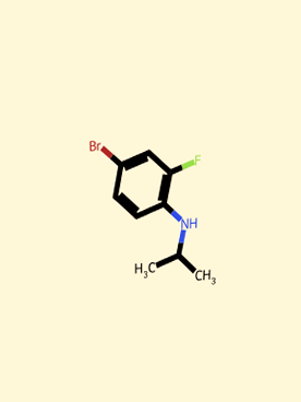 CC(C)Nc1ccc(Br)cc1F